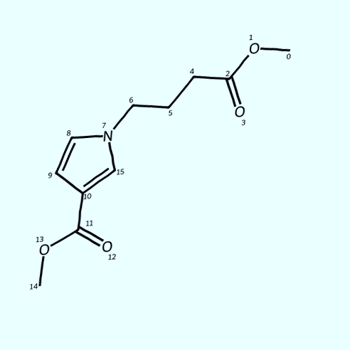 COC(=O)CCCn1ccc(C(=O)OC)c1